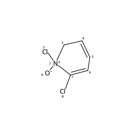 [O-][N+]1(Cl)CC=CC=C1Cl